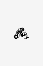 COC(=O)C(CC(C)(N)C(=O)OC(C)(C)C)(OC(=O)c1ccccc1)C(=O)O